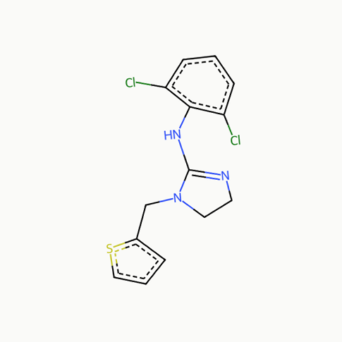 Clc1cccc(Cl)c1NC1=NCCN1Cc1cccs1